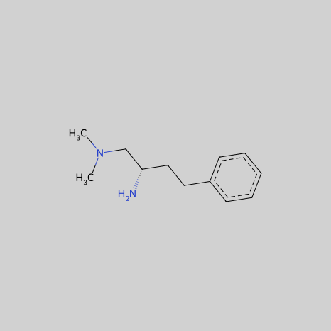 CN(C)C[C@@H](N)CCc1ccccc1